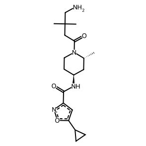 C[C@@H]1C[C@@H](NC(=O)c2cc(C3CC3)on2)CCN1C(=O)CC(C)(C)CN